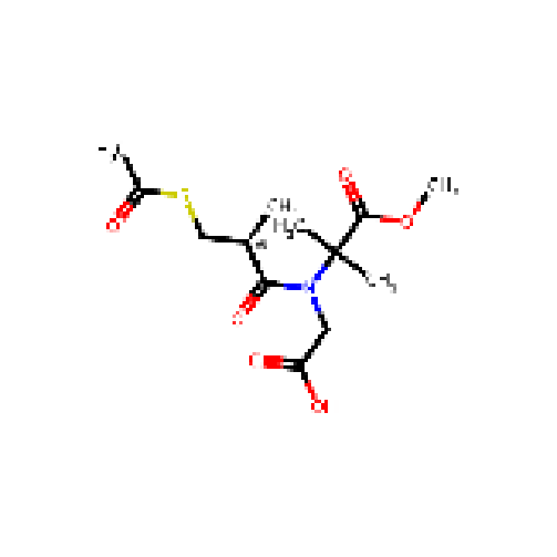 COC(=O)C(C)(C)N(CC(=O)O)C(=O)[C@H](C)CSC(C)=O